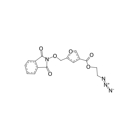 [N-]=[N+]=NCCOC(=O)c1coc(CON2C(=O)c3ccccc3C2=O)c1